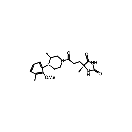 COc1c(C)cccc1N1CCN(C(=O)CC[C@@]2(C)NC(=O)NC2=O)C[C@@H]1C